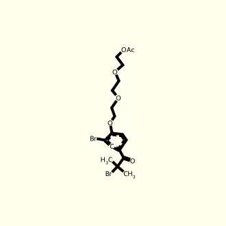 CC(=O)OCCOCCOCCOc1ccc(C(=O)C(C)(C)Br)cc1Br